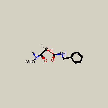 CON(C)C(=O)[C@H](C)OC(=O)NCc1ccccc1